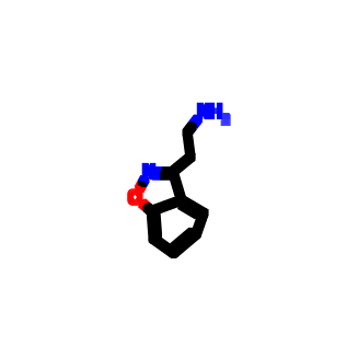 NCCc1noc2ccccc12